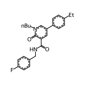 CCCCn1cc(-c2ccc(CC)cc2)cc(C(=O)NCc2ccc(F)cc2)c1=O